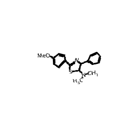 COc1ccc(C2=NC(c3ccccc3)C(N(C)C)S2)cc1